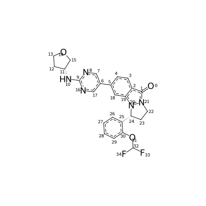 O=c1c2ccc(-c3cnc(N[C@@H]4CCOC4)nc3)cc2n2n1CC[C@@H]2c1ccccc1OC(F)F